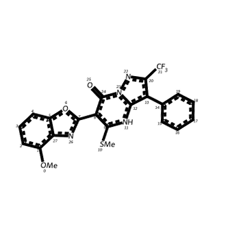 COc1cccc2oc(-c3c(SC)[nH]c4c(-c5ccccc5)c(C(F)(F)F)nn4c3=O)nc12